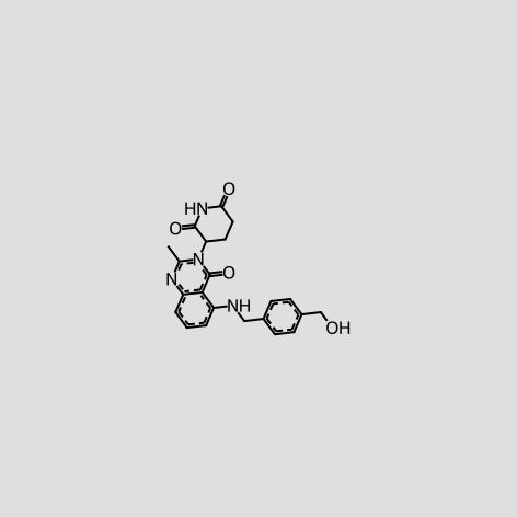 Cc1nc2cccc(NCc3ccc(CO)cc3)c2c(=O)n1C1CCC(=O)NC1=O